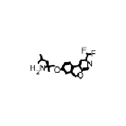 CC(C)CC(C)(N)COc1ccc2c(c1)COc1cnc(C(F)F)cc1-2